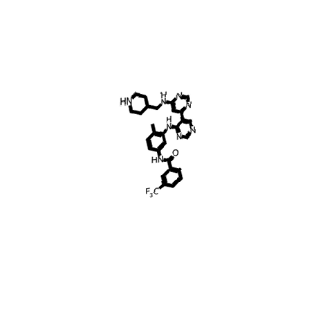 Cc1ccc(NC(=O)c2cccc(C(F)(F)F)c2)cc1Nc1ncncc1-c1cc(NCC2CCNCC2)ncn1